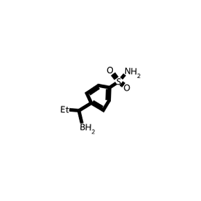 BC(CC)c1ccc(S(N)(=O)=O)cc1